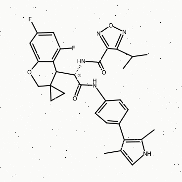 Cc1c[nH]c(C)c1-c1ccc(NC(=O)[C@@H](NC(=O)c2nonc2C(C)C)C2c3c(F)cc(F)cc3OCC23CC3)cc1